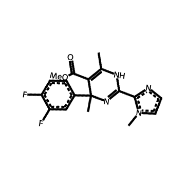 COC(=O)C1=C(C)NC(c2nccn2C)=NC1(C)c1ccc(F)c(F)c1